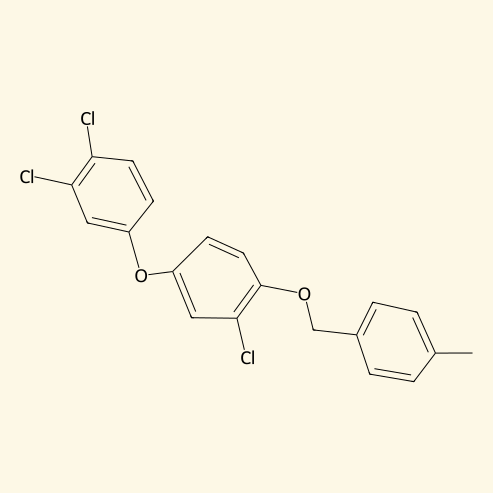 Cc1ccc(COc2ccc(Oc3ccc(Cl)c(Cl)c3)cc2Cl)cc1